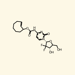 O=C(Nc1ccn([C@@H]2OC(CO)[C@H](O)C2(F)F)c(=O)n1)OC1/C=C/CCCCC1